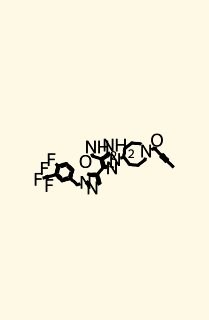 CC#CC(=O)N1CCCC(n2nc(-c3cnn(Cc4ccc(F)c(C(F)(F)F)c4)c3)c(C(N)=O)c2N)CCC1